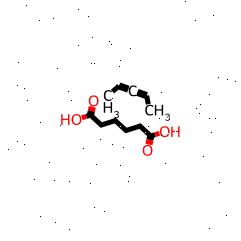 CC=C=CC.O=C(O)CCCCC(=O)O